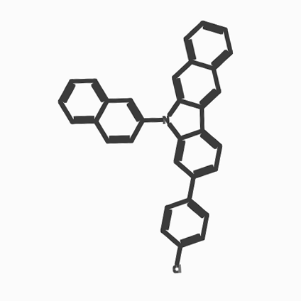 Clc1ccc(-c2ccc3c4cc5ccccc5cc4n(-c4ccc5ccccc5c4)c3c2)cc1